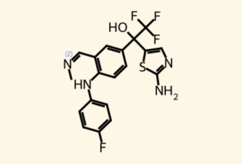 C/N=C\c1cc(C(O)(c2cnc(N)s2)C(F)(F)F)ccc1Nc1ccc(F)cc1